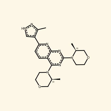 Cc1n[nH]cc1-c1ccc2c(N3CCOC[C@@H]3C)nc(N3CCOC[C@@H]3C)nc2n1